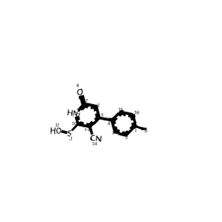 Cc1ccc(-c2cc(=O)[nH]c(SO)c2C#N)cc1